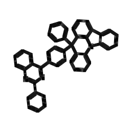 c1ccc(-c2nc(-c3ccc(C4(c5ccccc5)c5ccccc5-n5c6ccccc6c6cccc4c65)cc3)c3ccccc3n2)cc1